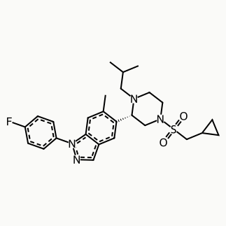 Cc1cc2c(cnn2-c2ccc(F)cc2)cc1[C@H]1CN(S(=O)(=O)CC2CC2)CCN1CC(C)C